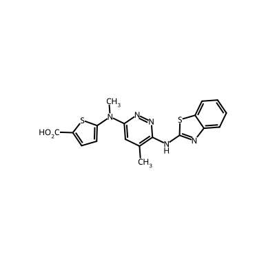 Cc1cc(N(C)c2ccc(C(=O)O)s2)nnc1Nc1nc2ccccc2s1